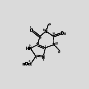 CCCCCCCCc1nc2c([nH]1)c(=O)n(C)c(=O)n2C